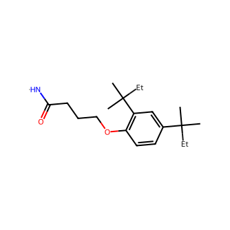 CCC(C)(C)c1ccc(OCCCC([NH])=O)c(C(C)(C)CC)c1